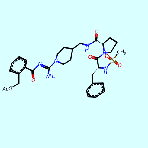 CC(=O)OCc1ccccc1C(=O)/N=C(\N)N1CCC(CNC(=O)[C@@H]2CCCN2C(=O)[C@@H](Cc2ccccc2)NS(C)(=O)=O)CC1